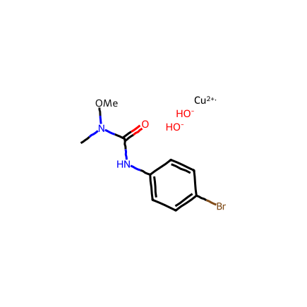 CON(C)C(=O)Nc1ccc(Br)cc1.[Cu+2].[OH-].[OH-]